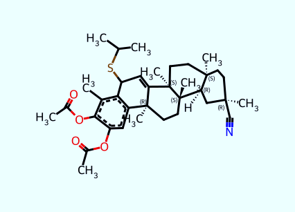 CC(=O)Oc1cc2c(c(C)c1OC(C)=O)C(SC(C)C)C=C1[C@@]2(C)CC[C@@]2(C)[C@@H]3C[C@](C)(C#N)CC[C@]3(C)CC[C@]12C